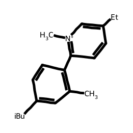 CCc1ccc(-c2ccc(C(C)CC)cc2C)[n+](C)c1